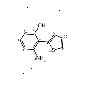 Nc1cccc(O)c1-c1cccs1